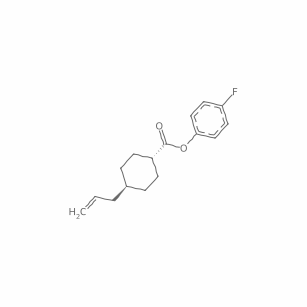 C=CC[C@H]1CC[C@H](C(=O)Oc2ccc(F)cc2)CC1